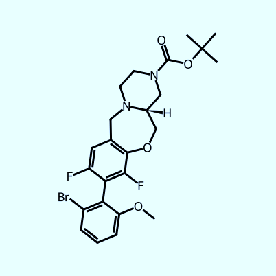 COc1cccc(Br)c1-c1c(F)cc2c(c1F)OC[C@H]1CN(C(=O)OC(C)(C)C)CCN1C2